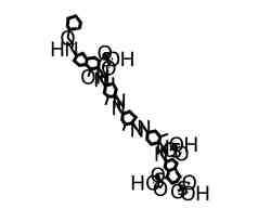 Cc1cc(N=Nc2cc(C)c(N=Nc3c(S(=O)(=O)O)cc4cc(NCOc5ccccc5)ccc4c3O)cc2C)ccc1N=Nc1ccc(N=Nc2cc3c(S(=O)(=O)O)cc(S(=O)(=O)O)cc3cc2S(=O)(=O)O)c(C)c1